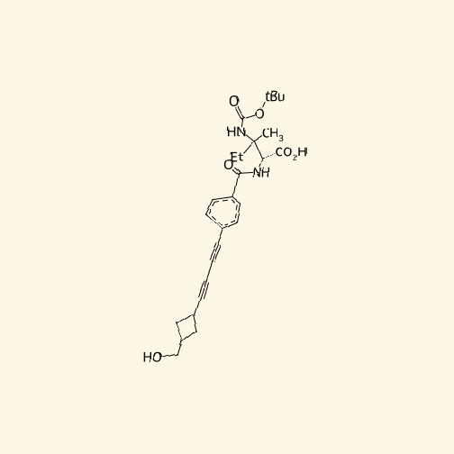 CCC(C)(NC(=O)OC(C)(C)C)C(NC(=O)c1ccc(C#CC#CC2CC(CO)C2)cc1)C(=O)O